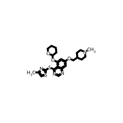 Cc1csc(Sc2ncnc3cc(OCC4CCN(C)CC4)cc(OC4CCCCO4)c23)n1